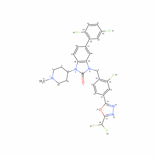 CN1CCC(n2c(=O)n(Cc3ccc(-c4nnc(C(F)F)o4)cc3F)c3cc(-c4cc(F)ccc4F)ccc32)CC1